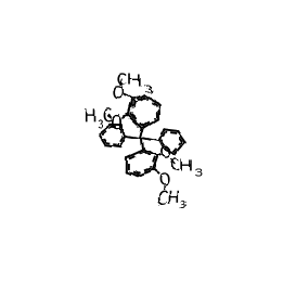 COc1cccc(C(c2ccccc2)(c2ccccc2)c2cccc(OC)c2OC)c1OC